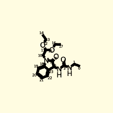 CCNC(=O)NC1C(=O)N(CC(OCC)OCC)c2ccccc21